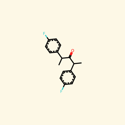 CC(C(=O)C(C)c1ccc(F)cc1)c1ccc(F)cc1